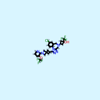 OC1(C(F)(F)F)CC(N2Cc3cc(Cl)ccc3-n3c(nnc3C3CC4(C3)CN(c3ncccc3OC(F)(F)F)C4)C2)C1